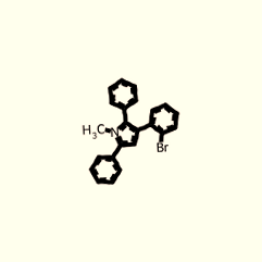 Cn1c(-c2ccccc2)cc(-c2ccccc2Br)c1-c1ccccc1